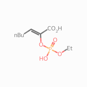 CCCCC=C(OP(=O)(O)OCC)C(=O)O